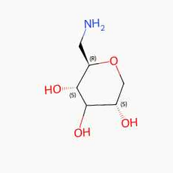 NC[C@H]1OC[C@H](O)C(O)[C@@H]1O